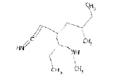 CC[C@H](C)C[C@@H](C=C=N)[C@@H](CC)NC